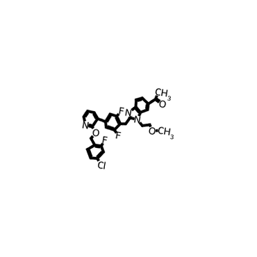 COCCn1c(Cc2c(F)cc(-c3cccnc3OCc3ccc(Cl)cc3F)cc2F)nc2ccc(C(C)=O)cc21